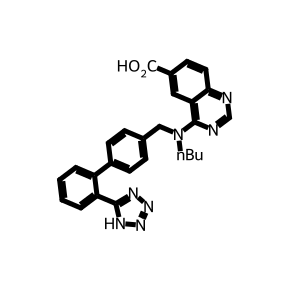 CCCCN(Cc1ccc(-c2ccccc2-c2nnn[nH]2)cc1)c1ncnc2ccc(C(=O)O)cc12